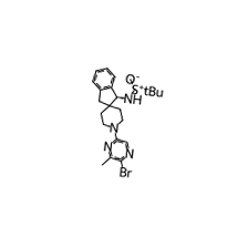 Cc1nc(N2CCC3(CC2)Cc2ccccc2[C@H]3N[S@+]([O-])C(C)(C)C)cnc1Br